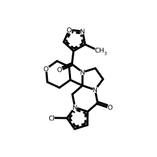 Cc1nocc1C(=O)N1CCN2C(=O)c3ccc(Cl)n3CC12C1CCOCC1